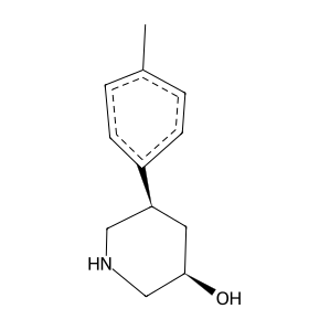 Cc1ccc([C@@H]2CNC[C@H](O)C2)cc1